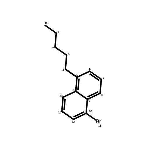 CCCCCc1cccc2c(Br)cccc12